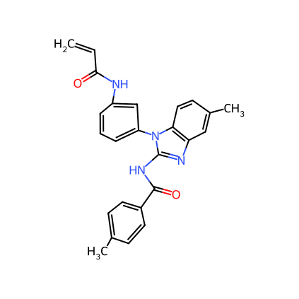 C=CC(=O)Nc1cccc(-n2c(NC(=O)c3ccc(C)cc3)nc3cc(C)ccc32)c1